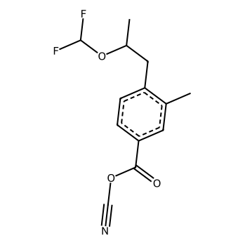 Cc1cc(C(=O)OC#N)ccc1CC(C)OC(F)F